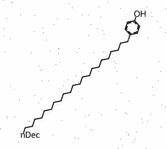 CCCCCCCCCCCCCCCCCCCCCCCCCCCCCCCCc1ccc(O)cc1